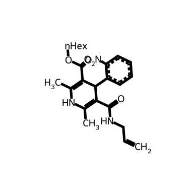 C=CCNC(=O)C1=C(C)NC(C)=C(C(=O)OCCCCCC)C1c1ccccc1[N+](=O)[O-]